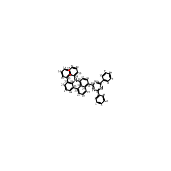 c1ccc(-c2nc(-c3ccccc3)nc(-c3ccc4c5c(cccc35)-c3cccc(-c5ccccc5)c3N4c3ccccc3)n2)cc1